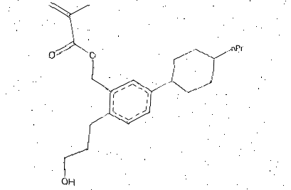 C=C(C)C(=O)OCc1cc(C2CCC(CCC)CC2)ccc1CCCO